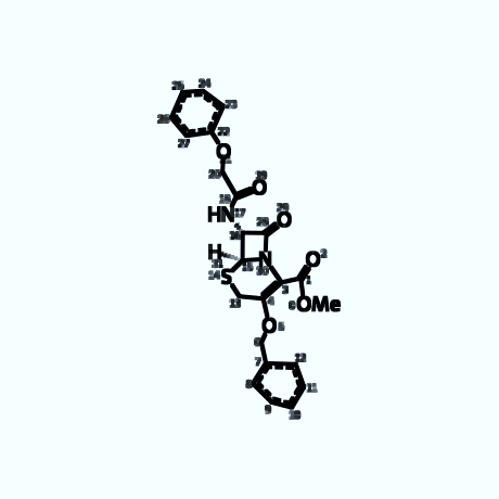 COC(=O)C1=C(OCc2ccccc2)CS[C@H]2[C@H](NC(=O)COc3ccccc3)C(=O)N12